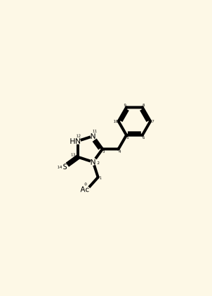 CC(=O)Cn1c(Cc2ccccc2)n[nH]c1=S